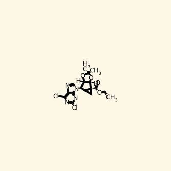 CCOC(=O)[C@]12CC1[C@@H](n1cnc3c(Cl)nc(Cl)nc31)[C@@H]1OC(C)(C)O[C@@H]12